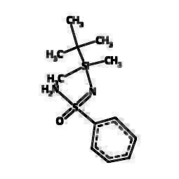 CC(C)(C)[Si](C)(C)N=S(N)(=O)c1ccccc1